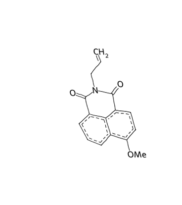 C=CCN1C(=O)c2cccc3c(OC)ccc(c23)C1=O